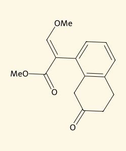 CO/C=C(/C(=O)OC)c1cccc2c1CC(=O)CC2